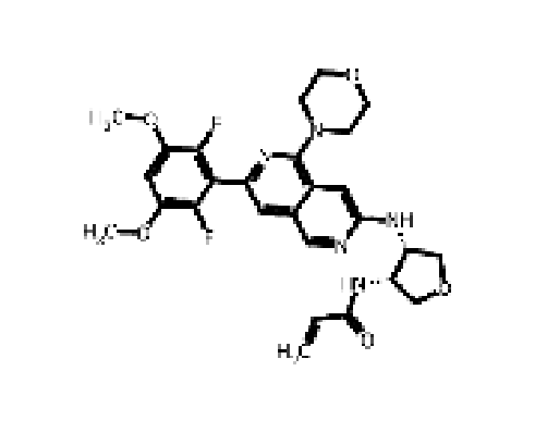 C=CC(=O)N[C@H]1COC[C@H]1Nc1cc2c(N3CCOCC3)nc(-c3c(F)c(OC)cc(OC)c3F)cc2cn1